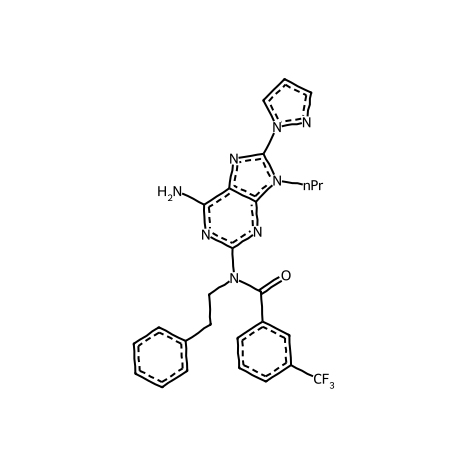 CCCn1c(-n2cccn2)nc2c(N)nc(N(CCc3ccccc3)C(=O)c3cccc(C(F)(F)F)c3)nc21